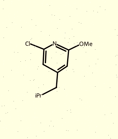 COc1cc(CC(C)C)cc(Cl)n1